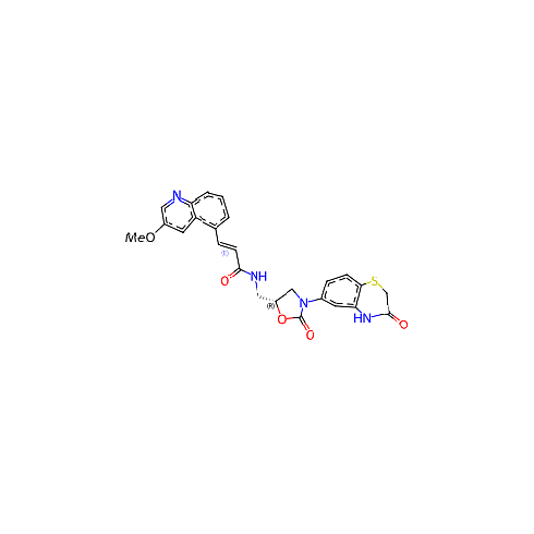 COc1cnc2cccc(/C=C/C(=O)NC[C@@H]3CN(c4ccc5c(c4)NC(=O)CS5)C(=O)O3)c2c1